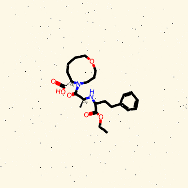 CCOC(=O)C(CCc1ccccc1)N[C@@H](C)C(=O)N1CCCOCCCC[C@H]1C(=O)O